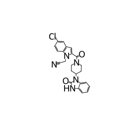 N#CCn1c(C(=O)N2CCC(n3c(=O)[nH]c4ccccc43)CC2)cc2cc(Cl)ccc21